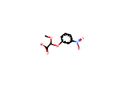 COC(Oc1cccc([N+](=O)[O-])c1)C(=O)O